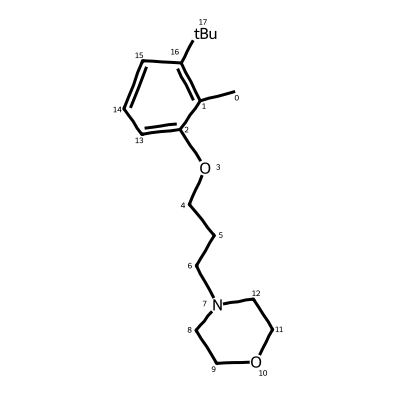 Cc1c(OCCCN2CCOCC2)cccc1C(C)(C)C